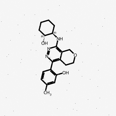 Cc1ccc(-c2nnc(N[C@@H]3CCCC[C@H]3O)c3c2CCOC3)c(O)c1